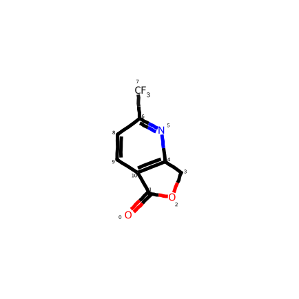 O=C1OCc2nc(C(F)(F)F)ccc21